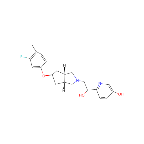 Cc1ccc(O[C@H]2C[C@@H]3CN(CC(O)c4ccc(O)cn4)C[C@@H]3C2)cc1F